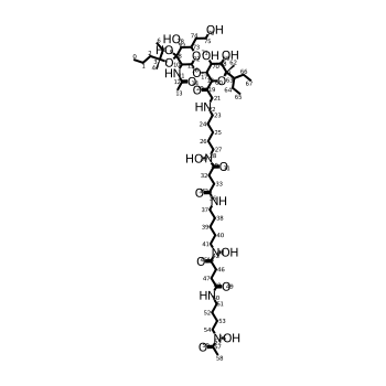 CCC[C@](C)(CC)OC1(O)C(NC(C)=O)[C@H](O[C@@H]2C(C(=O)CNCCCCCN(O)C(=O)CCC(=O)NCCCCCN(O)C(=O)CCC(=O)NCCCCN(O)C(C)=O)O[C@@](C)(C(CC)CC)C(O)C2O)OC(CCO)[C@H]1O